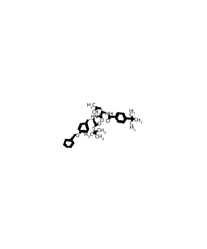 CC(C)C[C@H](NC(=O)c1ccc(C(C)(C)C)cc1)C(=O)N[C@@H](Cc1ccc(OCc2ccccc2)cc1)C(=O)OC(C)(C)C